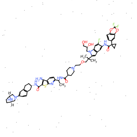 CC(NC(=O)C1CCN(CCOCC(C)(C)c2cc3cc(NC(=O)C4(c5ccc6c(c5)OC(F)(F)O6)CC4)c(F)cc3n2C[C@@H](O)CO)CC1)c1ccc2c(N)c(C(=O)N[C@H]3CCc4cc(N5C[C@H]6CC[C@@H](C5)N6)ccc4C3)sc2n1